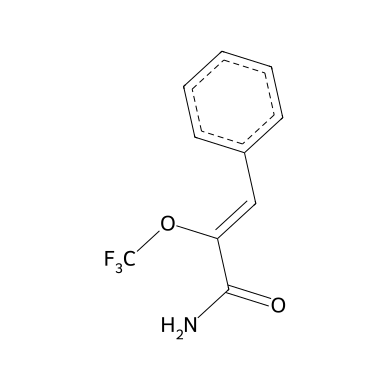 NC(=O)C(=Cc1ccccc1)OC(F)(F)F